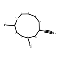 N#CC1CCCCCC(Cl)CCC(Cl)C1